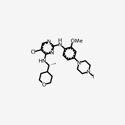 COc1cc(N2CCN(I)CC2)ccc1Nc1ncc(Cl)c(N[C@H](C)C2CCOCC2)n1